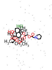 C=C[C@@]1(C)CC(=O)[C@]2(O)[C@@]3(C)[C@@H](O)CCC(C)(C)[C@@H]3[C@H](OC(=O)COC(=O)CN3CCCCC3)[C@H](OC(C)=O)[C@@]2(C)O1.Cl